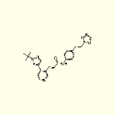 CC(C)(C)n1cc(-c2ccncc2/C=C/C(=O)Nc2ccc(CCc3nnco3)cc2)cn1